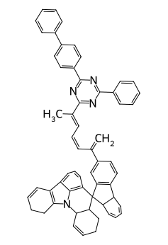 C=C(/C=C\C=C(/C)c1nc(-c2ccccc2)nc(-c2ccc(-c3ccccc3)cc2)n1)c1ccc2c(c1)C1(c3cccc4c5c(n(c34)C3C=CCCC31)CCC=C5)C1C=CC=CC21